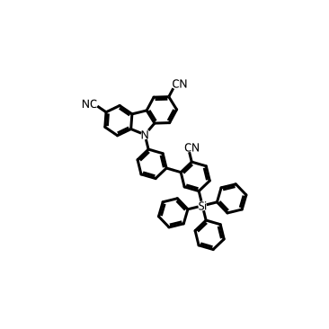 N#Cc1ccc2c(c1)c1cc(C#N)ccc1n2-c1cccc(-c2cc([Si](c3ccccc3)(c3ccccc3)c3ccccc3)ccc2C#N)c1